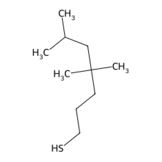 CC(C)CC(C)(C)CCCS